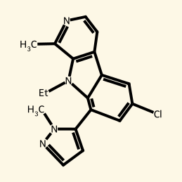 CCn1c2c(-c3ccnn3C)cc(Cl)cc2c2ccnc(C)c21